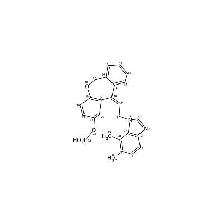 Cc1ccc2ncn(CC=C3c4ccccc4COc4ccc(OC(=O)O)cc43)c2c1C